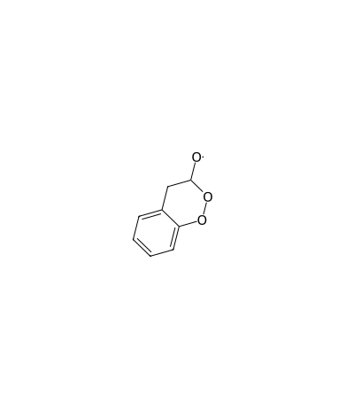 [O]C1Cc2ccccc2OO1